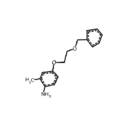 Cc1cc(OCCOCc2ccccc2)ccc1N